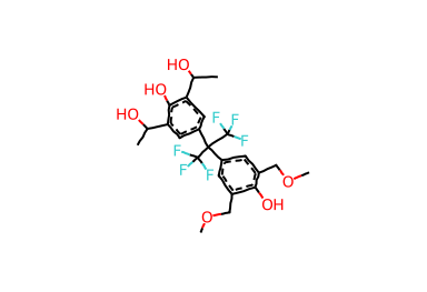 COCc1cc(C(c2cc(C(C)O)c(O)c(C(C)O)c2)(C(F)(F)F)C(F)(F)F)cc(COC)c1O